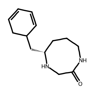 O=C1CN[C@H](CC2C=CC=CC2)CCCN1